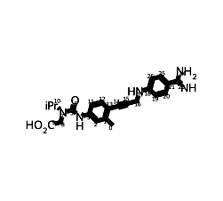 Cc1cc(NC(=O)N(CC(=O)O)C(C)C)ccc1C#CCNc1ccc(C(=N)N)cc1